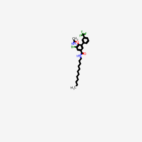 CCCCCCCCCCCCNC(=O)c1cc(Br)c(OC(C)N)c(-c2cccc(C(F)(F)F)c2)c1